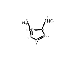 C[N+]1=NN=NC1C=O